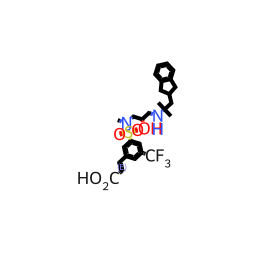 CN(CC(O)CNC(C)(C)CC1Cc2ccccc2C1)S(=O)(=O)c1cc(/C=C/C(=O)O)cc(C(F)(F)F)c1